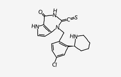 O=C1NC(=C=S)N(Cc2ccc(Cl)cc2[C@@H]2CCCCN2)c2cc[nH]c21